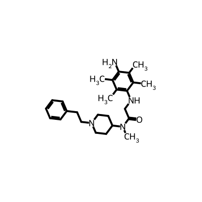 Cc1c(C)c(NCC(=O)N(C)C2CCN(CCc3ccccc3)CC2)c(C)c(C)c1N